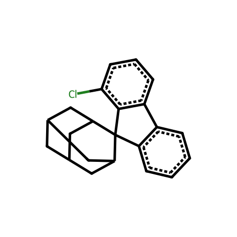 Clc1cccc2c1C1(c3ccccc3-2)C2CC3CC(C2)CC1C3